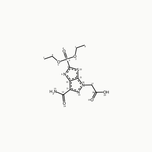 CCOP(=O)(OCC)c1nc2c(C(N)=O)nn(CC(=O)O)c2s1